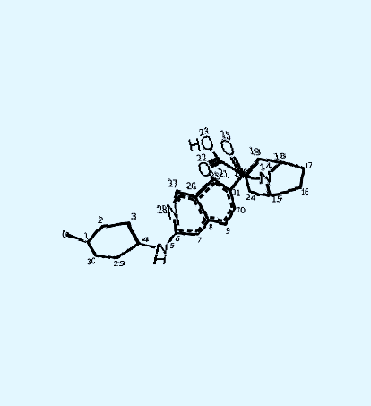 C[C@H]1CC[C@@H](Nc2cc3ccc(C(=O)N4C5CCC4CC(C(=O)O)C5)cc3cn2)CC1